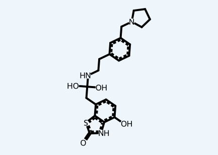 O=c1[nH]c2c(O)ccc(CC(O)(O)NCCc3cccc(CN4CCCC4)c3)c2s1